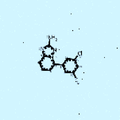 Nc1nc2cccc(-c3cc(Cl)cc(Cl)c3)n2n1